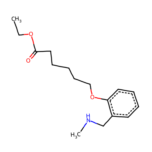 CCOC(=O)CCCCCOc1ccccc1CNC